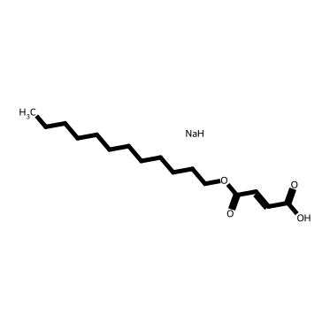 CCCCCCCCCCCCOC(=O)/C=C/C(=O)O.[NaH]